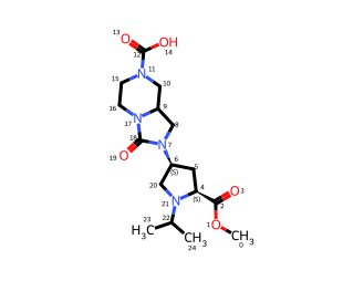 COC(=O)[C@@H]1C[C@H](N2CC3CN(C(=O)O)CCN3C2=O)CN1C(C)C